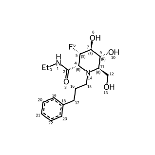 CCNC(=O)[C@@H]1[C@H](F)[C@@H](O)[C@H](O)[C@@H](CO)N1CCCc1ccccc1